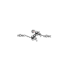 CCCCCCCCCCCCCCCCCC[N+](C)(C)Cc1ccc(C[N+](C)(C)CCCCCCCCCCCCCCCCCC)cc1.[Cl-].[Cl-]